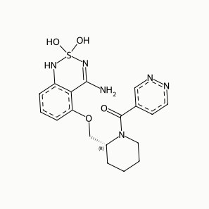 NC1=NS(O)(O)Nc2cccc(OC[C@H]3CCCCN3C(=O)c3ccnnc3)c21